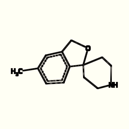 Cc1ccc2c(c1)COC21CCNCC1